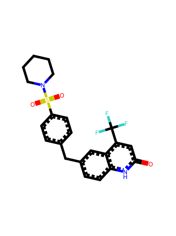 O=c1cc(C(F)(F)F)c2cc(Cc3ccc(S(=O)(=O)N4CCCCC4)cc3)ccc2[nH]1